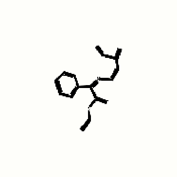 C=CSC(=C)/C(=N\C=C/C(=C)C=C)c1ccccc1